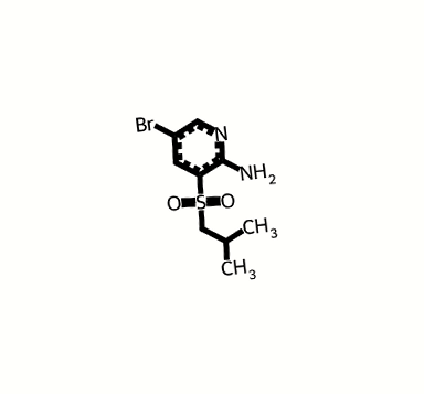 CC(C)CS(=O)(=O)c1cc(Br)cnc1N